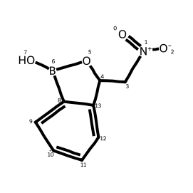 O=[N+]([O-])CC1OB(O)c2c[c]ccc21